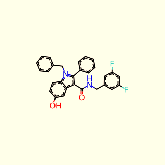 O=C(NCc1cc(F)cc(F)c1)c1c(-c2ccccc2)n(Cc2ccccc2)c2ccc(O)cc12